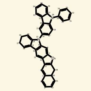 C1=CC2=Cc3c(oc4cc5c(cc34)c3c(n5-c4ccc5c(c4)c4ccccc4n5-c4ccccc4)=CCCC=3)CC2C=C1